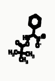 CC(C)(C)C(=O)ONC(c1ccccc1)[N+](=O)[O-]